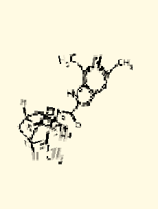 Cc1cc2cc(C(=O)N[C@H]3C[C@H]4C[C@@H]([C@@H]3C)C4(C)C)[nH]c2c(C)n1